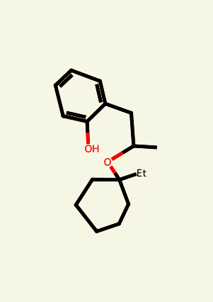 CCC1(OC(C)Cc2ccccc2O)CCCCC1